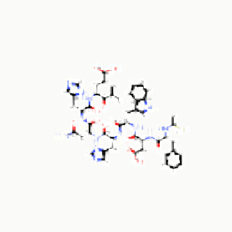 CC(S)N[C@@H](Cc1ccccc1)C(=O)N[C@@H](CC(=O)O)C(=O)N[C@@H](Cc1c[nH]c2ccccc12)C(=O)N[C@@H](Cc1cnc[nH]1)C(=O)N[C@@H](CC(N)=O)C(=O)N[C@@H](Cc1cnc[nH]1)C(=O)N[C@@H](CCC(=O)O)C(=O)C(C)C